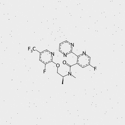 C[C@@H](COc1ncc(C(F)(F)F)cc1F)N(C)C(=O)c1cc(F)cnc1-c1ncccn1